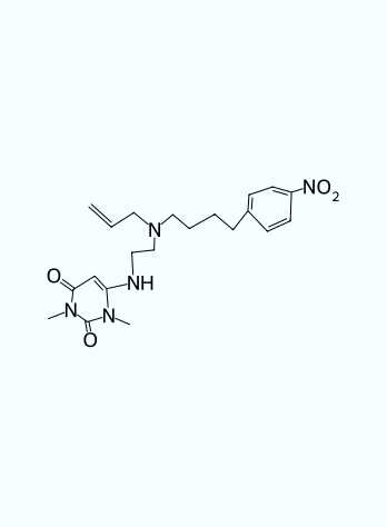 C=CCN(CCCCc1ccc([N+](=O)[O-])cc1)CCNc1cc(=O)n(C)c(=O)n1C